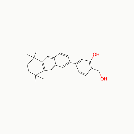 CC1(C)CCC(C)(C)c2cc3cc(-c4ccc(CO)c(O)c4)ccc3cc21